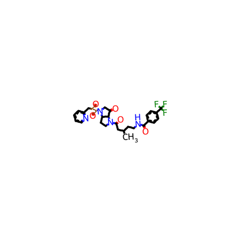 CC(CCNC(=O)c1ccc(C(F)(F)F)cc1)CC(=O)N1CCC2C1C(=O)CN2S(=O)(=O)Cc1ccccn1